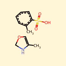 CC1=COCN1.Cc1ccccc1S(=O)(=O)O